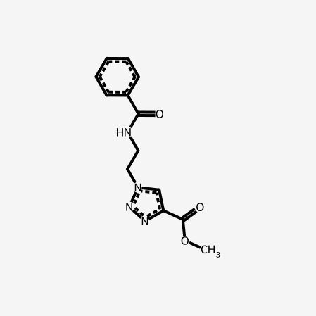 COC(=O)c1cn(CCNC(=O)c2ccccc2)nn1